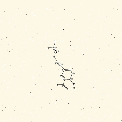 C=C(C)C1=CC(C#CCN=C(C)C)=CCC1F